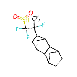 O=[SH](=O)C(F)(F)C(F)(C1CC2CC1C1C3CCC(C3)C21)C(F)(F)F